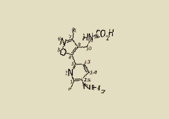 Cc1nc(-c2onc(C)c2CNC(=O)O)ccc1N